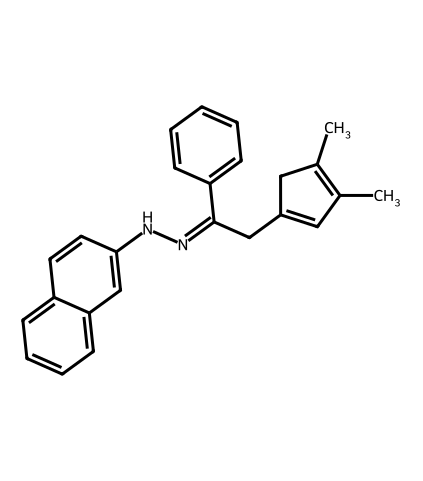 CC1=C(C)CC(CC(=NNc2ccc3ccccc3c2)c2ccccc2)=C1